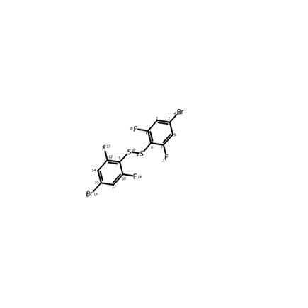 Fc1cc(Br)cc(F)c1SSc1c(F)cc(Br)cc1F